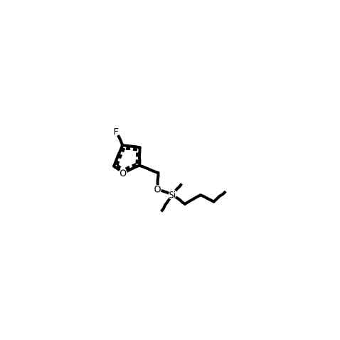 CCCC[Si](C)(C)OCc1cc(F)co1